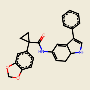 O=C(NC1=CCC2NC=C(c3ccccc3)C2=C1)C1(c2ccc3c(c2)OCO3)CC1